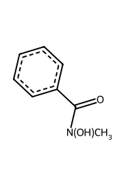 [CH2]N(O)C(=O)c1ccccc1